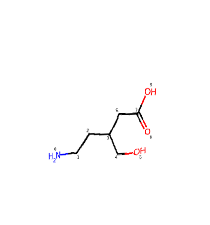 NCCC(CO)CC(=O)O